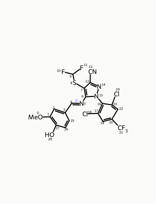 COc1cc(/C=N/c2c(SC(F)F)c(C#N)nn2-c2c(Cl)cc(C(F)(F)F)cc2Cl)ccc1O